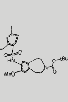 COc1cc2c(cc1NS(=O)(=O)c1ccc(I)cc1F)CCN(C(=O)OC(C)(C)C)CC2